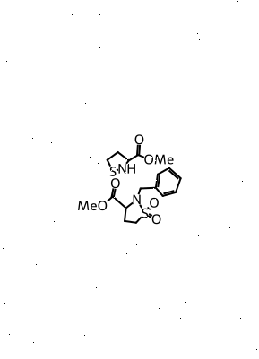 COC(=O)C1CCS(=O)(=O)N1Cc1ccccc1.COC(=O)C1CCSN1